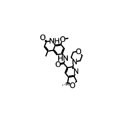 COc1cc(NC(=O)c2cc3c(nc2N2CCOCC2)CO[C@@H]3C)cc2c(C)cc(=O)[nH]c12